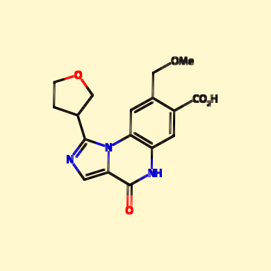 COCc1cc2c(cc1C(=O)O)[nH]c(=O)c1cnc(C3CCOC3)n12